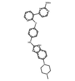 CNc1nccc(-c2cccnc2Oc2ccc(Nc3nc4cc(N5CCN(C)CC5)ccc4[nH]3)cc2)n1